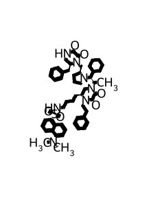 CC([C@@H](C1CCCCC1)N1CCC[C@H]1CN1C(=O)C(=O)NC[C@@H]1Cc1ccccc1)N1C[C@H](CCCCNS(=O)(=O)c2cccc3c(N(C)C)cccc23)N(CCc2ccccc2)C(=O)C1=O